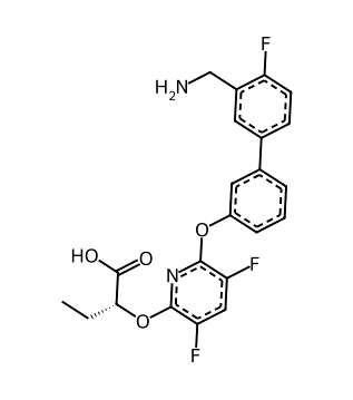 CC[C@@H](Oc1nc(Oc2cccc(-c3ccc(F)c(CN)c3)c2)c(F)cc1F)C(=O)O